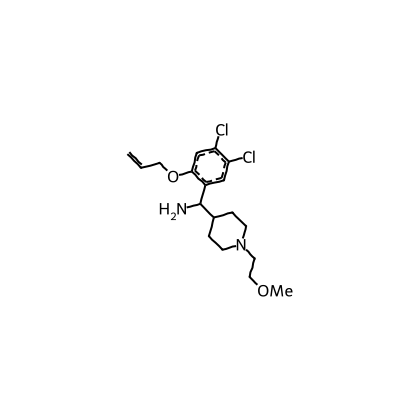 C=CCOc1cc(Cl)c(Cl)cc1C(N)C1CCN(CCOC)CC1